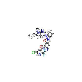 Cc1cc2cc(-n3c(=O)n(CC4CCC(NC(=O)c5cc(Cl)cnc5C(F)F)CC4)c4ccccc43)cnc2n1C